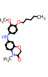 CCCCCOc1ccc(Nc2ccc3c(c2)OCC(=O)N3C)cc1OC